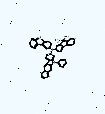 CC1(C)c2ccccc2-c2ccc(N(c3ccc4sc5ccccc5c4c3)c3ccc4c5cc6ccccc6cc5n(-c5ccccc5)c4c3)cc21